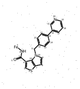 O=C([NH][Fe])c1csc2ccn(Cc3ccc(-c4cccnc4)cc3)c12